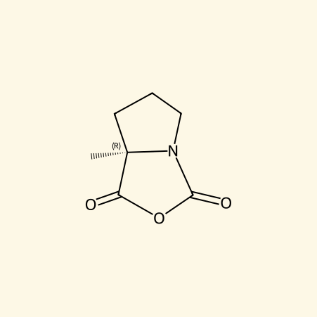 C[C@]12CCCN1C(=O)OC2=O